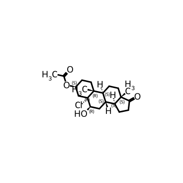 CC(=O)O[C@H]1CC[C@]2(C)[C@H]3CC[C@]4(C)C(=O)CC[C@H]4[C@@H]3C[C@@H](O)[C@@]2(Cl)C1